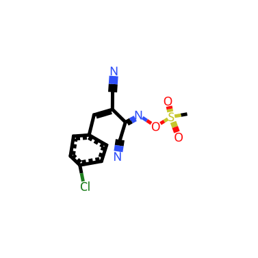 CS(=O)(=O)O/N=C(C#N)/C(C#N)=C\c1ccc(Cl)cc1